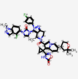 C[C@H]1c2c(nn(-c3ccc(F)cc3)c2-n2ccn(-c3ccc4c(cnn4C)c3F)c2=O)CCN1C(=O)c1cn2cc([C@H]3CCOC(C)(C)C3)ccc2c1C1(c2noc(=O)[nH]2)CC1